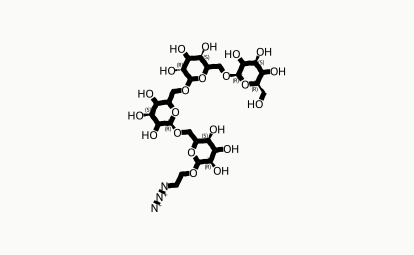 [N-]=[N+]=NCCOC1OC(CO[C@@H]2OC(COC3OC(CO[C@@H]4O[C@H](CO)C(O)[C@H](O)C4O)[C@@H](O)C(O)[C@H]3O)C(O)[C@H](O)C2O)[C@@H](O)C(O)[C@H]1O